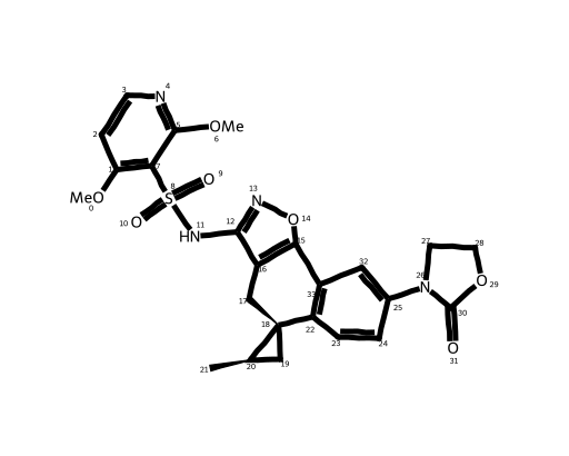 COc1ccnc(OC)c1S(=O)(=O)Nc1noc2c1C[C@]1(C[C@H]1C)c1ccc(N3CCOC3=O)cc1-2